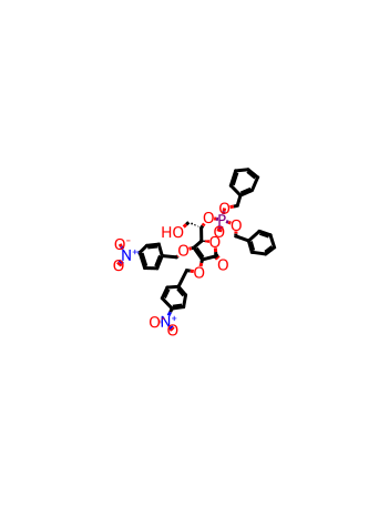 O=C1O[C@H]([C@H](CO)OP(=O)(OCc2ccccc2)OCc2ccccc2)C(OCc2ccc([N+](=O)[O-])cc2)=C1OCc1ccc([N+](=O)[O-])cc1